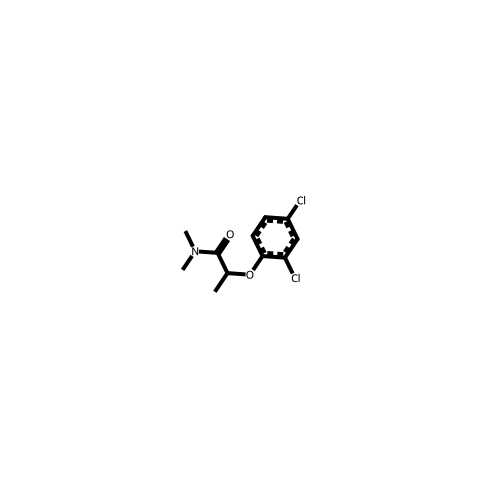 CC(Oc1ccc(Cl)cc1Cl)C(=O)N(C)C